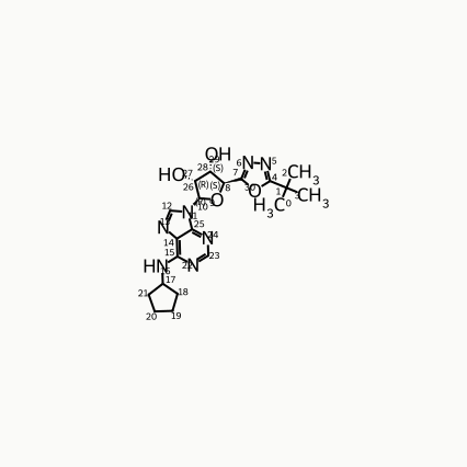 CC(C)(C)c1nnc([C@H]2O[C@@H](n3cnc4c(NC5CCCC5)ncnc43)[C@H](O)[C@@H]2O)o1